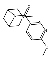 COc1ccc(C(=O)N2C3CC2CN(C)C3)nn1